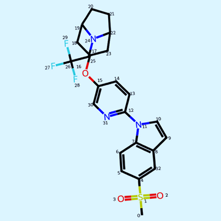 CS(=O)(=O)c1ccc2c(ccn2-c2ccc(OC3CC4CCC(C3)N4CC(F)(F)F)cn2)c1